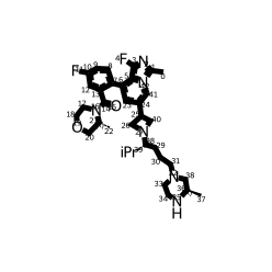 Cc1nc(F)c2c(-c3ccc(F)cc3C(=O)N3CCOC[C@H]3C)cc(C3CN([C@H](CCCN4CCN[C@H](C)C4)C(C)C)C3)cn12